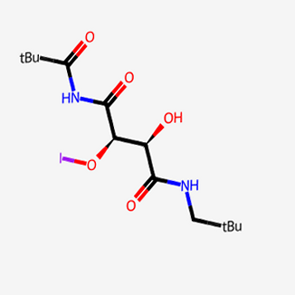 CC(C)(C)CNC(=O)[C@H](O)[C@@H](OI)C(=O)NC(=O)C(C)(C)C